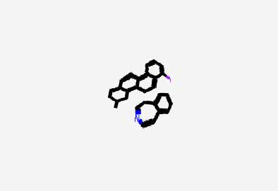 C1=Cc2ccccc2CC=N1.CC1CC=c2ccc3c(c2C1)CC=c1c(I)cccc1=3